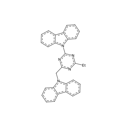 CCc1nc(Cn2c3ccccc3c3ccccc32)nc(-n2c3ccccc3c3ccccc32)n1